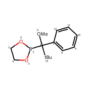 COC(B1OCCO1)(c1ccccc1)C(C)(C)C